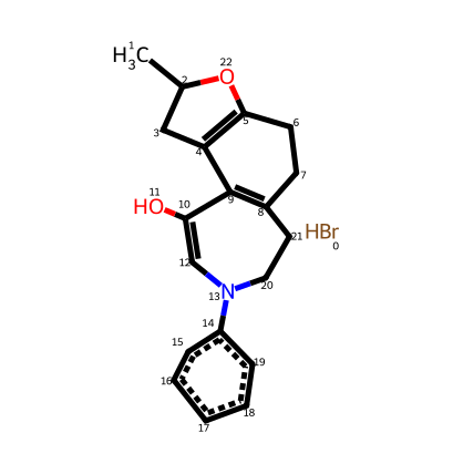 Br.CC1CC2=C(CCC3=C2C(O)=CN(c2ccccc2)CC3)O1